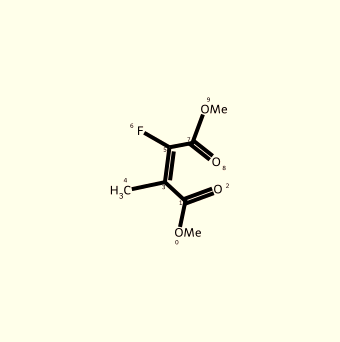 COC(=O)/C(C)=C(/F)C(=O)OC